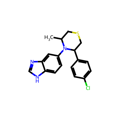 CC1[CH]SCC(c2ccc(Cl)cc2)N1c1ccc2[nH]cnc2c1